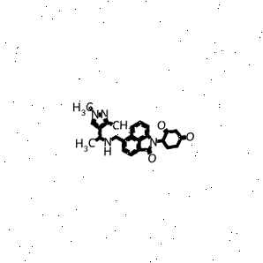 Cc1nn(C)cc1C(C)NCc1ccc2c3c(cccc13)N(C1CCC(=O)CC1=O)C2=O